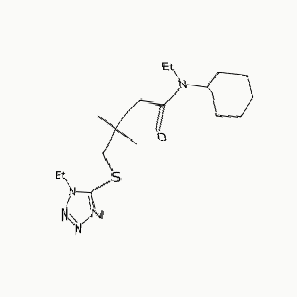 CCN(C(=O)CC(C)(C)CSc1nnnn1CC)C1CCCCC1